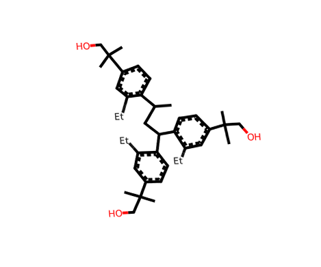 CCc1cc(C(C)(C)CO)ccc1C(C)CC(c1ccc(C(C)(C)CO)cc1CC)c1ccc(C(C)(C)CO)cc1CC